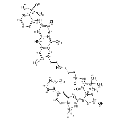 COc1cc(CCNCCCC(=O)N[C@H](C(=O)N2C[C@H](O)CC2C(=O)N[C@@H](C)c2ccc(-c3scnc3C)cc2)C(C)(C)C)c(C)cc1Nc1ncc(Cl)c(Nc2ccccc2P(C)(C)=O)n1